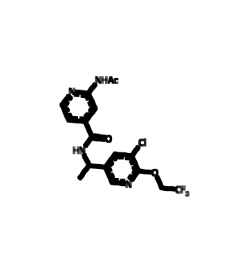 CC(=O)Nc1cc(C(=O)NC(C)c2cnc(OCC(F)(F)F)c(Cl)c2)ccn1